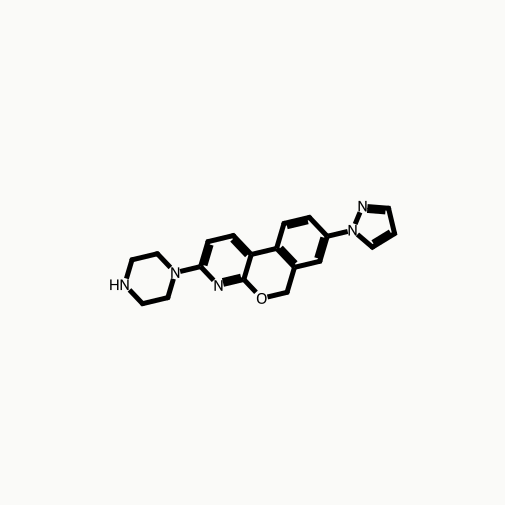 c1cnn(-c2ccc3c(c2)COc2nc(N4CCNCC4)ccc2-3)c1